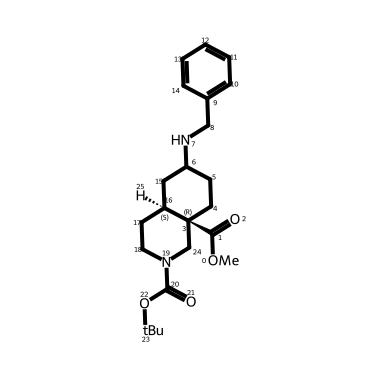 COC(=O)[C@]12CCC(NCc3ccccc3)C[C@@H]1CCN(C(=O)OC(C)(C)C)C2